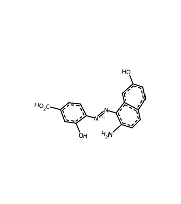 Nc1ccc2ccc(O)cc2c1/N=N/c1ccc(C(=O)O)cc1O